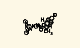 C[C@@H]1C[C@H]2[C@@H]3C=CC4=CC(=O)C=C[C@]4(C)C3=CC[C@]2(C)[C@H]1C(=O)CN1CCN(c2cc(N3CCCC3)nc(N3CCCC3)n2)CC1